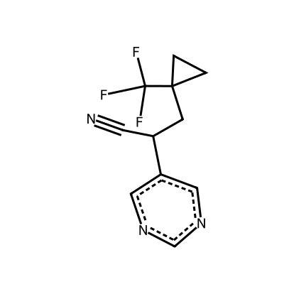 N#CC(CC1(C(F)(F)F)CC1)c1cncnc1